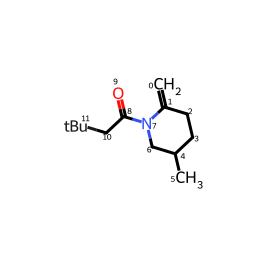 C=C1CCC(C)CN1C(=O)CC(C)(C)C